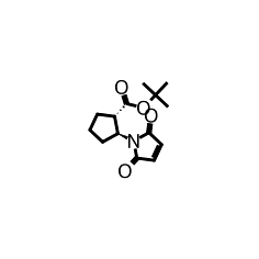 CC(C)(C)OC(=O)[C@H]1CCC[C@@H]1N1C(=O)C=CC1=O